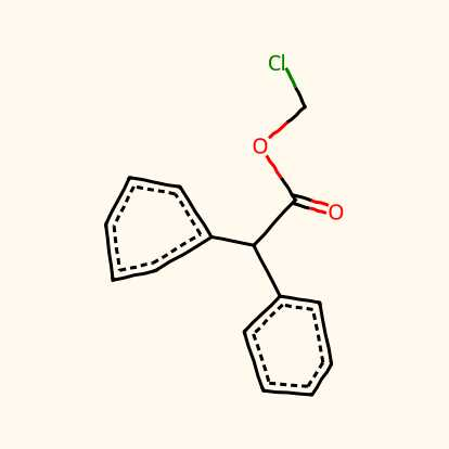 O=C(OCCl)C(c1ccccc1)c1ccccc1